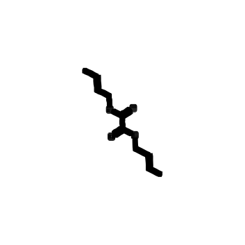 CC=CCOC(=O)C(=O)OCC=CC